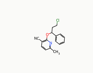 Cc1ccc(C#N)c(OC(CCCl)c2ccccc2)n1